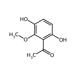 COc1c(O)ccc(O)c1C(C)=O